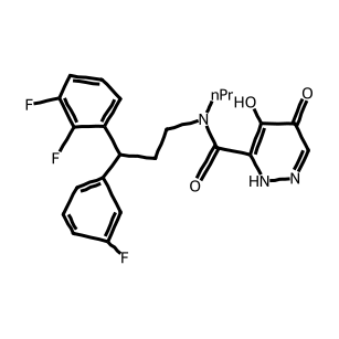 CCCN(CCC(c1cccc(F)c1)c1cccc(F)c1F)C(=O)c1[nH]ncc(=O)c1O